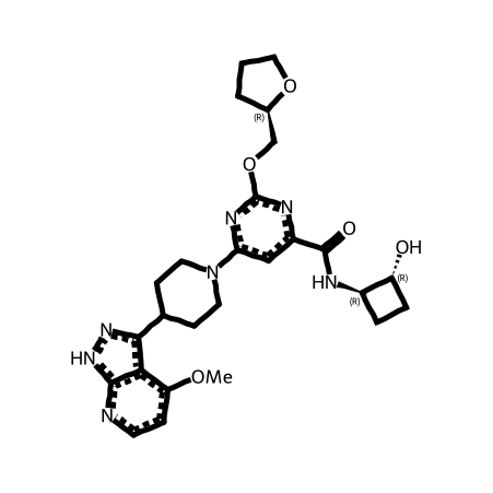 COc1ccnc2[nH]nc(C3CCN(c4cc(C(=O)N[C@@H]5CC[C@H]5O)nc(OC[C@H]5CCCO5)n4)CC3)c12